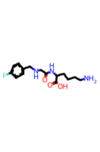 NCCCCC(NC(=O)CNCc1ccc(F)cc1)C(=O)O